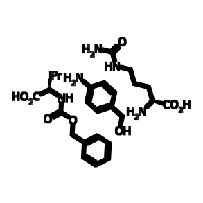 CC(C)[C@H](NC(=O)OCc1ccccc1)C(=O)O.NC(=O)NCCC[C@H](N)C(=O)O.Nc1ccc(CO)cc1